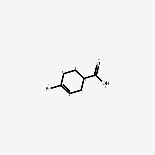 O=C(O)C1CC=C(Br)CC1